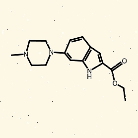 CCOC(=O)c1cc2ccc(N3CCN(C)CC3)cc2[nH]1